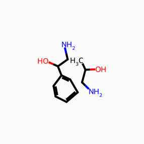 CC(O)CN.NCC(O)c1ccccc1